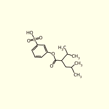 CC(C)CC(C(=O)Oc1cccc(S(=O)(=O)O)c1)C(C)C